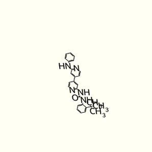 CC(C)(C)c1ccccc1NC(=O)Nc1cc(-c2ccnc(Nc3ccccc3)c2)ccn1